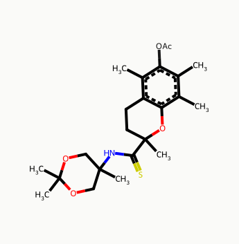 CC(=O)Oc1c(C)c(C)c2c(c1C)CCC(C)(C(=S)NC1(C)COC(C)(C)OC1)O2